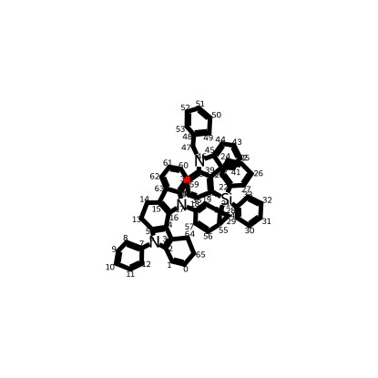 C1=Cc2c(c3c(n2-c2ccccc2)CCc2c-3n(C3=CC4([Si](c5ccccc5)(c5ccccc5)c5cccc6c5c5ccccc5n6Cc5ccccc5)CC4C=C3)c3ccccc23)CC1